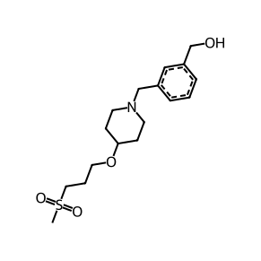 CS(=O)(=O)CCCOC1CCN(Cc2cccc(CO)c2)CC1